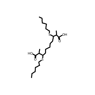 CCCCCCSC(CCCCCC(SCCCCCC)C(C)C(=O)O)C(C)C(=O)O